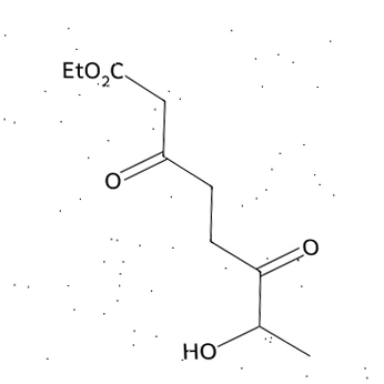 CCOC(=O)CC(=O)CCC(=O)C(C)O